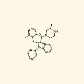 Cc1cccc(C)c1Cc1c(-c2ccccc2)c2ccccn2c1C(=O)N1CCN[C@H](C)C1